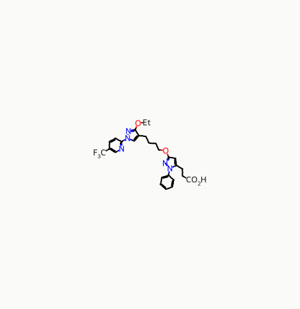 CCOc1nn(-c2ccc(C(F)(F)F)cn2)cc1CCCCOc1cc(CCC(=O)O)n(-c2ccccc2)n1